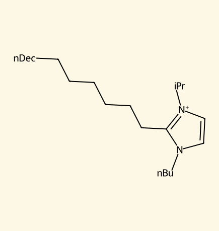 CCCCCCCCCCCCCCCCc1n(CCCC)cc[n+]1C(C)C